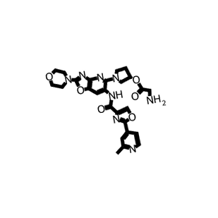 Cc1cc(-c2nc(C(=O)Nc3cc4oc(N5CCOCC5)nc4nc3N3CC[C@@H](OC(=O)CN)C3)co2)ccn1